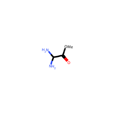 COC(=O)C(N)N